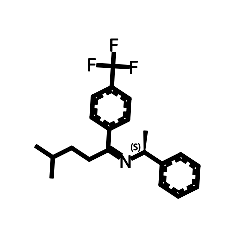 CC(C)CCC(=N[C@@H](C)c1ccccc1)c1ccc(C(F)(F)F)cc1